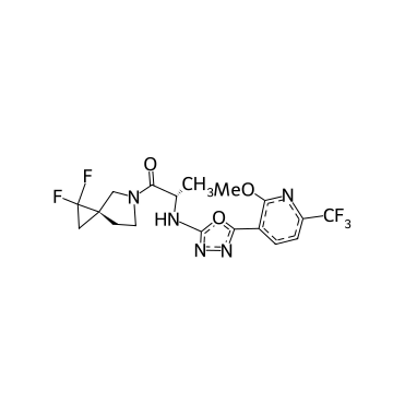 COc1nc(C(F)(F)F)ccc1-c1nnc(N[C@@H](C)C(=O)N2CC[C@@]3(C2)CC3(F)F)o1